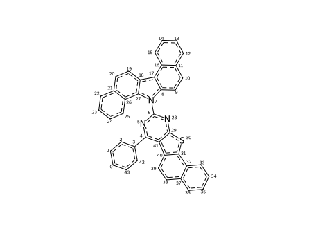 c1ccc(-c2nc(-n3c4ccc5ccccc5c4c4ccc5ccccc5c43)nc3sc4c5ccccc5ccc4c23)cc1